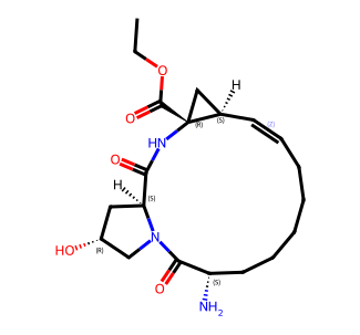 CCOC(=O)[C@@]12C[C@H]1/C=C\CCCCC[C@H](N)C(=O)N1C[C@H](O)C[C@H]1C(=O)N2